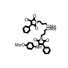 COCCCN1C(=O)C(Cl)=C(c2ccccc2)C1=O.COCCCN1C(=O)C(Nc2ccc(OC)cc2)=C(c2ccccc2)C1=O